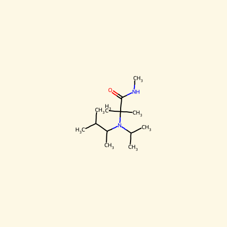 CNC(=O)C(C)(C)N(C(C)C)C(C)C(C)C